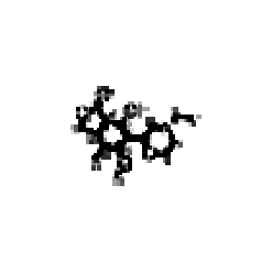 [CH2]CN1CCOC(c2c(O)c3c(c(C)c2OC)COC3=O)C1